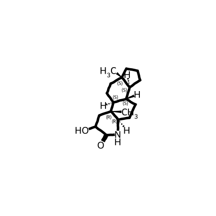 C[C@@]12CCC[C@H]1[C@@H]1CC[C@H]3NC(=O)C(O)C[C@]3(C)[C@H]1CC2